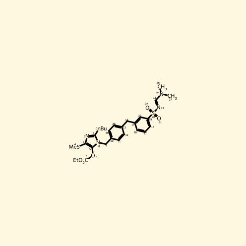 CCCCc1nc(SC)c(OC(=O)OCC)n1Cc1ccc(Cc2cccc(S(=O)(=O)N=CN(C)C)c2)cc1